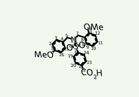 COc1ccc(CN(Cc2ccccc2OC)S(=O)(=O)c2ccc(C(=O)O)cc2)cc1